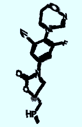 CPC[C@H]1CN(c2cc(F)c(N3C=NOCC3)c(F)c2)C(=O)O1